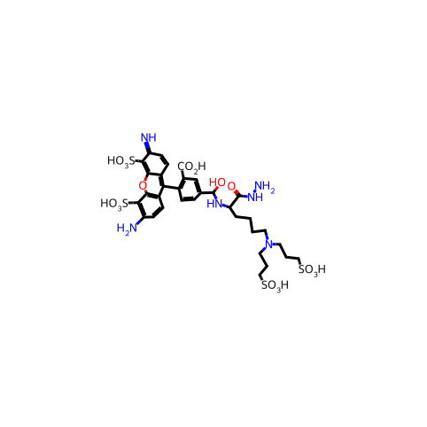 N=c1ccc2c(-c3ccc(C(O)NC(CCCCN(CCCS(=O)(=O)O)CCCS(=O)(=O)O)C(=O)NN)cc3C(=O)O)c3ccc(N)c(S(=O)(=O)O)c3oc-2c1S(=O)(=O)O